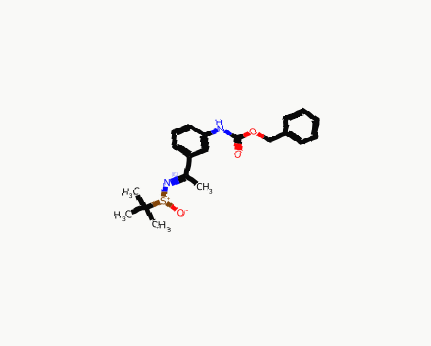 C/C(=N\[S+]([O-])C(C)(C)C)c1cccc(NC(=O)OCc2ccccc2)c1